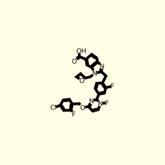 O=C(O)c1ccc2nc(Cc3ccc(C4N=C(OCc5ccc(Cl)cc5F)C=CN4F)cc3F)n(CC3CCO3)c2c1